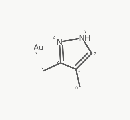 Cc1c[nH]nc1C.[Au]